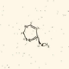 CC1=NC[N]C=C1